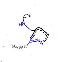 CCCCCn1nccc1NCC